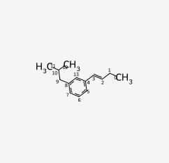 CC/C=C/c1cccc(CC(C)C)c1